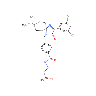 CC(C)C1CCC2(CC1)N=C(c1cc(Cl)cc(Cl)c1)C(=O)N2Cc1ccc(C(=O)NCCC(=O)O)cc1